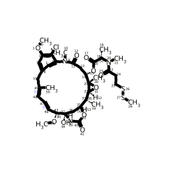 COc1cc2cc(c1Cl)N(C)C(=O)C[C@H](OC(=O)[C@H](C)N(C)C(=O)CCSSC)[C@]1(C)O[C@H]1[C@H](C)[C@@H]1C[C@@](O)(NC(=O)O1)[C@H](OC)/C=C/C=C(\C)C2